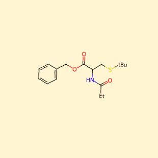 CCC(=O)NC(CSC(C)(C)C)C(=O)OCc1ccccc1